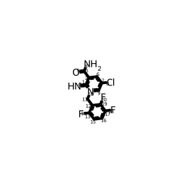 N=c1c(C(N)=O)cc(Cl)cn1Cc1c(F)ccc(F)c1F